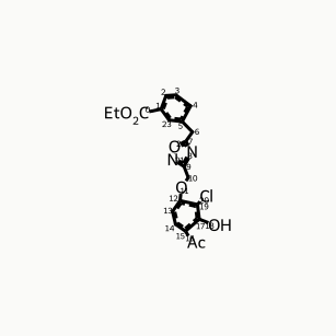 CCOC(=O)c1cccc(Cc2nc(COc3ccc(C(C)=O)c(O)c3Cl)no2)c1